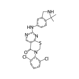 CC1(C)NCc2cc(Nc3ncc4c(n3)SCN(c3c(Cl)cccc3Cl)C4=O)ccc21